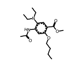 CCCCOc1cc(NC(C)=O)c(N(CC)CC)cc1C(=O)OC